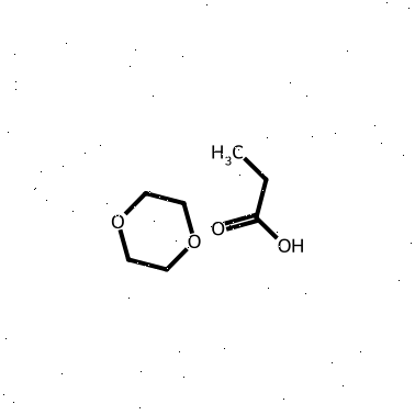 C1COCCO1.CCC(=O)O